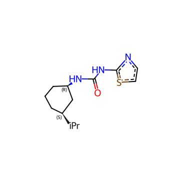 CC(C)[C@H]1CCC[C@@H](NC(=O)Nc2nccs2)C1